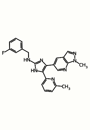 Cc1cccc(-c2[nH]c(NCc3cccc(F)c3)nc2-c2cnc3c(cnn3C)c2)n1